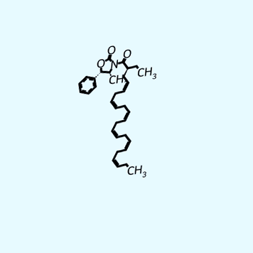 CC/C=C\C/C=C\C/C=C\C/C=C\C/C=C\C/C=C\C[C@H](CC)C(=O)N1C(=O)O[C@@H](c2ccccc2)[C@H]1C